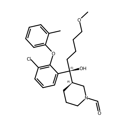 COCCCC[C@@](O)(c1cccc(Cl)c1Oc1ccccc1C)[C@@H]1CCCN(C=O)C1